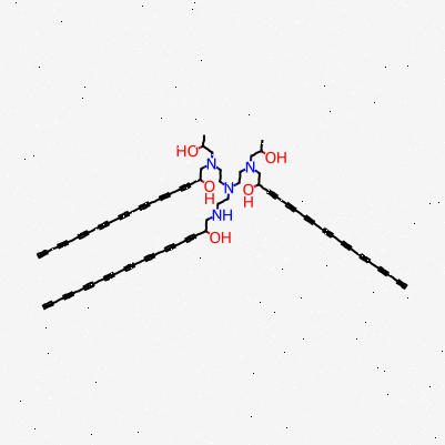 C#CC#CC#CC#CC#CC#CC#CC#CC(O)CNCCN(CCN(CC(C)O)CC(O)C#CC#CC#CC#CC#CC#CC#CC#C)CCN(CC(C)O)CC(O)C#CC#CC#CC#CC#CC#CC#CC#C